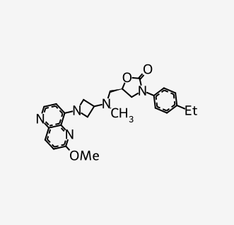 CCc1ccc(N2C[C@@H](CN(C)C3CN(c4ccnc5ccc(OC)nc45)C3)OC2=O)cc1